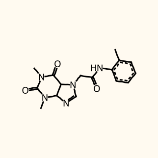 Cc1ccccc1NC(=O)CN1C=NC2C1C(=O)N(C)C(=O)N2C